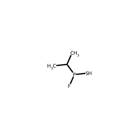 CC(C)P(F)S